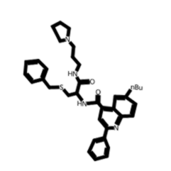 CCCCc1ccc2nc(-c3ccccc3)cc(C(=O)NC(CSCc3ccccc3)C(=O)NCCCN3CCCC3)c2c1